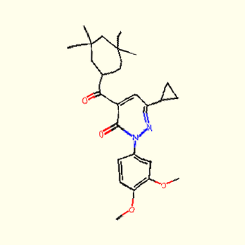 COc1ccc(-n2nc(C3CC3)cc(C(=O)C3CC(C)(C)CC(C)(C)C3)c2=O)cc1OC